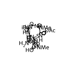 CC[C@H](C)[C@@H]1NC(=O)CNC(=O)C(NC)Cc2c([nH]c3ccc(OC(C)=O)cc23)SCC(C(=O)NC(CC(N)=O)C(=O)N2C[C@H](O)C[C@H]2C(=O)NC)NC(=O)CNC1=O